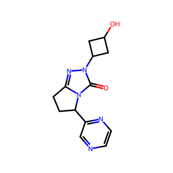 O=c1n(C2CC(O)C2)nc2n1C(c1cnccn1)CC2